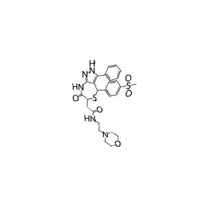 CS(=O)(=O)c1ccc(C2SC(CC(=O)NCCN3CCOCC3)C(=O)Nc3n[nH]c(-c4ccccc4)c32)cc1